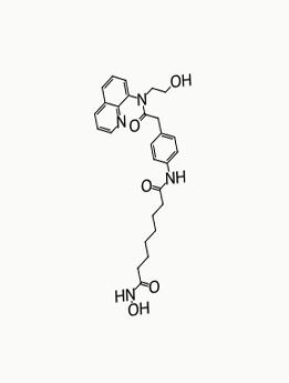 O=C(CCCCCCC(=O)Nc1ccc(CC(=O)N(CCO)c2cccc3cccnc23)cc1)NO